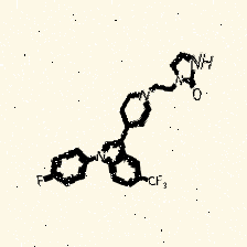 O=C1NCCN1CCN1CCC(c2cn(-c3ccc(F)cc3)c3ccc(C(F)(F)F)cc23)CC1